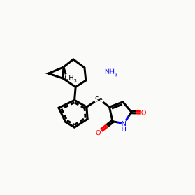 CC12CCCC(c3ccccc3[Se]C3=CC(=O)NC3=O)C1C2.N